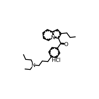 CCCc1cc2ccccn2c1C(=O)c1ccc(CCCN(CC)CCC)cc1.Cl